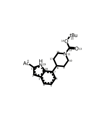 CC(=O)c1cc2cccc(C3CCN(C(=O)OC(C)(C)C)CC3)c2[nH]1